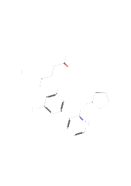 CC(CCC(=O)O)Oc1c(F)cc(-c2cccnc2SC2CCCC2)cc1F